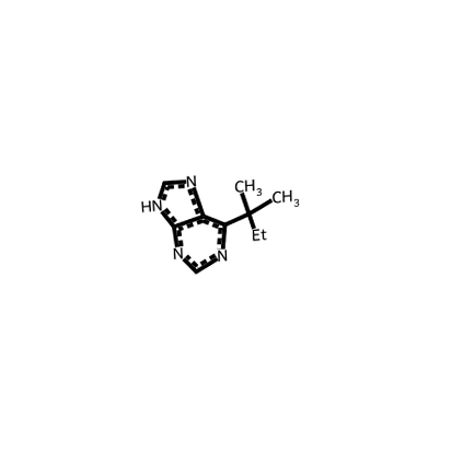 CCC(C)(C)c1ncnc2[nH]cnc12